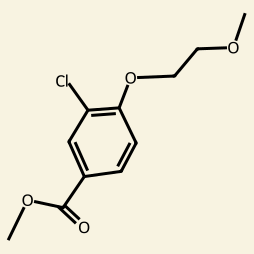 COCCOc1ccc(C(=O)OC)cc1Cl